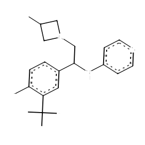 FC1CN(CC(Nc2ccncc2)c2ccc(Cl)c(C(F)(F)F)c2)C1